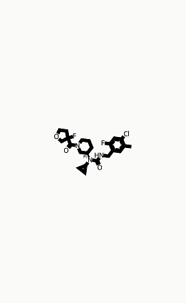 Cc1cc(CNC(=O)N(C2CC2)[C@@H]2CCCN(C(=O)C3(F)CCOC3)C2)c(F)cc1Cl